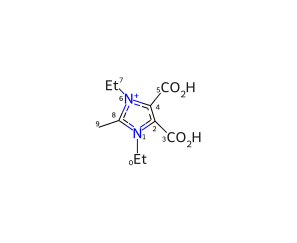 CCn1c(C(=O)O)c(C(=O)O)[n+](CC)c1C